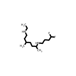 CCNCCC(C)CCC(C)NCCCC(F)F